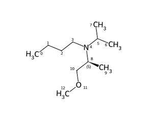 CCCCN(C(C)C)[C@@H](C)COC